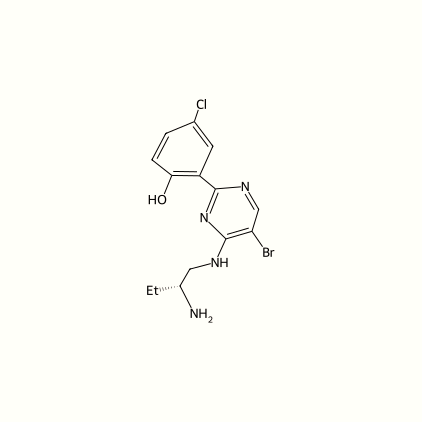 CC[C@@H](N)CNc1nc(-c2cc(Cl)ccc2O)ncc1Br